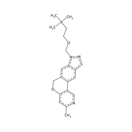 Cc1cc2c(cn1)-c1cc3cnn(COCC[Si](C)(C)C)c3cc1CO2